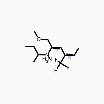 C/C=C(\C=C(\COC)N(N)C(C)CC)C(F)(F)F